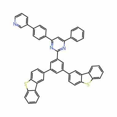 c1ccc(-c2cc(-c3ccc(-c4cccnc4)cc3)nc(-c3cc(-c4ccc5sc6ccccc6c5c4)cc(-c4ccc5sc6ccccc6c5c4)c3)n2)cc1